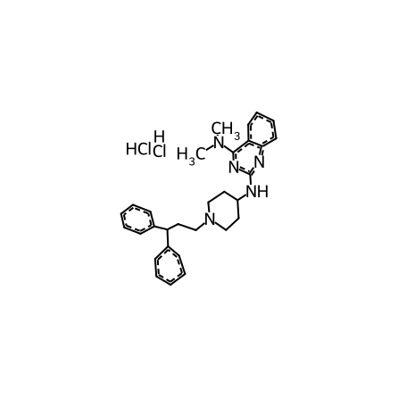 CN(C)c1nc(NC2CCN(CCC(c3ccccc3)c3ccccc3)CC2)nc2ccccc12.Cl.Cl